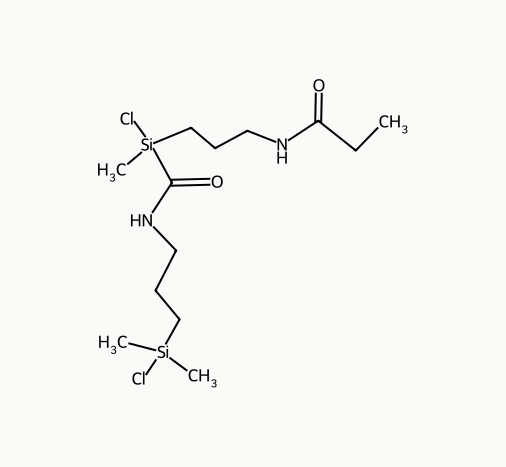 CCC(=O)NCCC[Si](C)(Cl)C(=O)NCCC[Si](C)(C)Cl